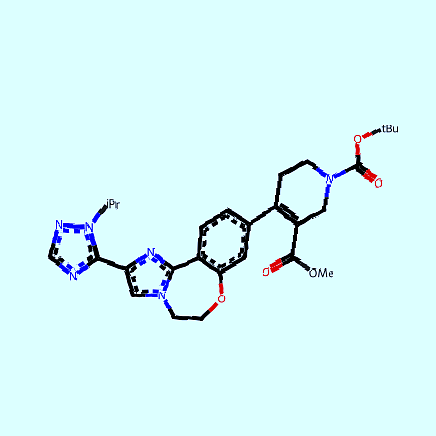 COC(=O)C1=C(c2ccc3c(c2)OCCn2cc(-c4ncnn4C(C)C)nc2-3)CCN(C(=O)OC(C)(C)C)C1